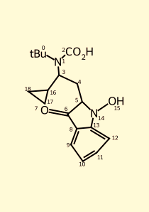 CC(C)(C)N(C(=O)O)C(CC1C(=O)c2ccccc2N1O)C1CC1